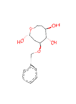 O[C@@H]1[C@@H](OCc2ccccc2)[C@H](O)OC[C@H]1O